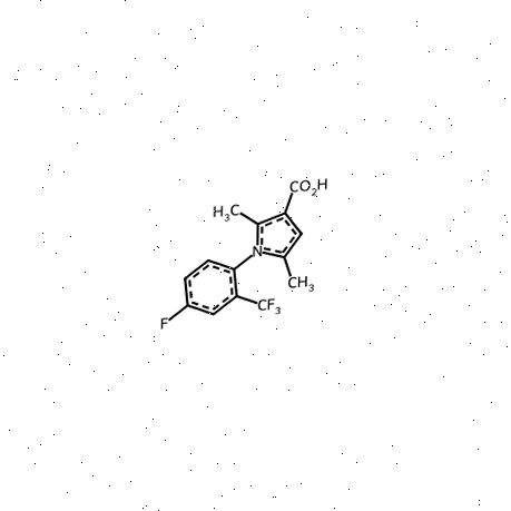 Cc1cc(C(=O)O)c(C)n1-c1ccc(F)cc1C(F)(F)F